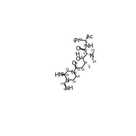 CC(=O)[C@H](NC(=O)[C@@H]([C@H](O)[C@H](C)CC(=O)N1CCN(C=N)C(=N)C1)N(C)C)C(C)C